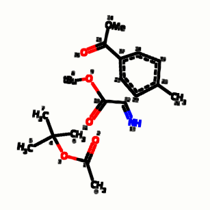 CC(=O)OC(C)(C)C.CC(C)(C)OC(=O)C=N.COC(=O)c1ccc(C)cc1